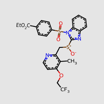 CCOC(=O)c1ccc(S(=O)(=O)n2c([S+]([O-])Cc3nccc(OCC(F)(F)F)c3C)nc3ccccc32)cc1